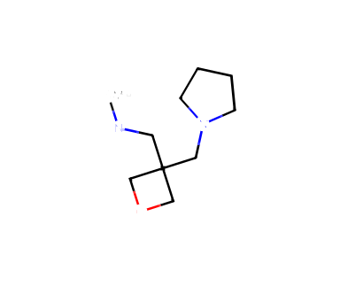 CSNCC1(CN2CCCC2)COC1